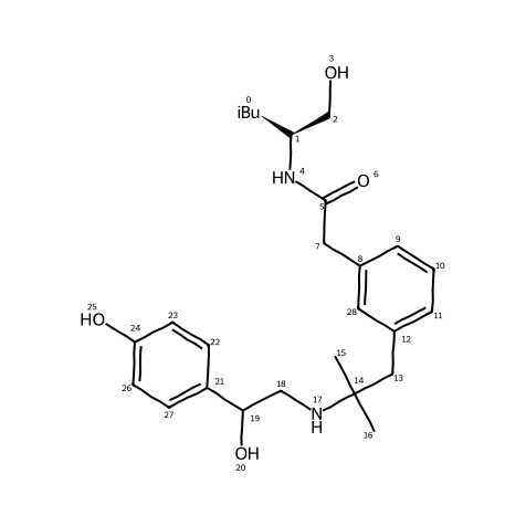 CC[C@H](C)[C@@H](CO)NC(=O)Cc1cccc(CC(C)(C)NCC(O)c2ccc(O)cc2)c1